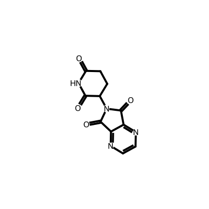 O=C1CCC(N2C(=O)c3nccnc3C2=O)C(=O)N1